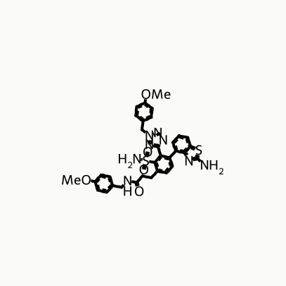 COc1ccc(CNC(=O)CCc2ccc(-c3cccc4sc(N)nc34)c(-c3nnn(Cc4ccc(OC)cc4)n3)c2S(N)(=O)=O)cc1